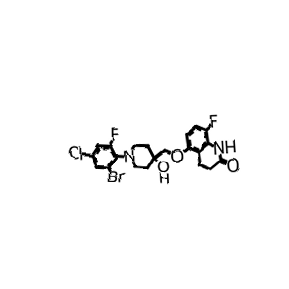 O=C1CCc2c(OCC3(O)CCN(c4c(F)cc(Cl)cc4Br)CC3)ccc(F)c2N1